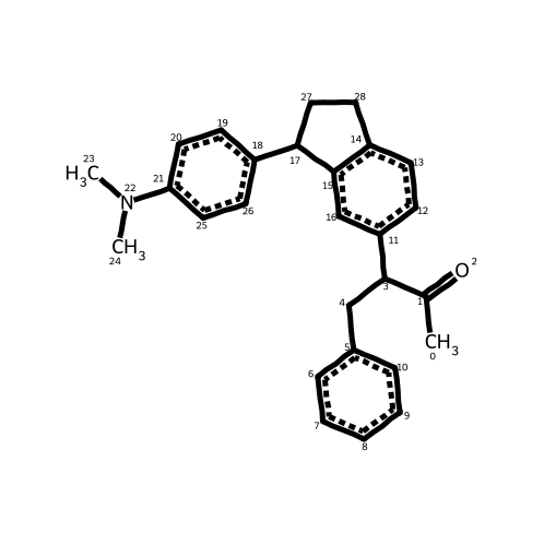 CC(=O)C(Cc1ccccc1)c1ccc2c(c1)C(c1ccc(N(C)C)cc1)CC2